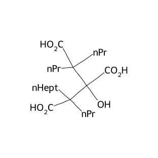 CCCCCCCC(CCC)(C(=O)O)C(O)(C(=O)O)C(CCC)(CCC)C(=O)O